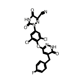 N#Cc1nn(-c2cc(Cl)c(Oc3cc(Cc4ccc(F)cc4)c(=O)[nH]n3)c(Cl)c2)c(=O)[nH]c1=O